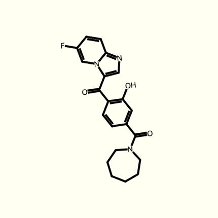 O=C(c1ccc(C(=O)N2CCCCCC2)cc1O)c1cnc2ccc(F)cn12